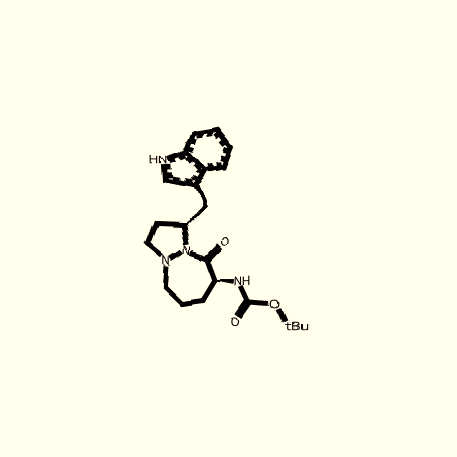 CC(C)(C)OC(=O)N[C@H]1CCCN2CC[C@@H](Cc3c[nH]c4ccccc34)N2C1=O